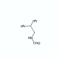 CCCC(CCC)CN[C]=O